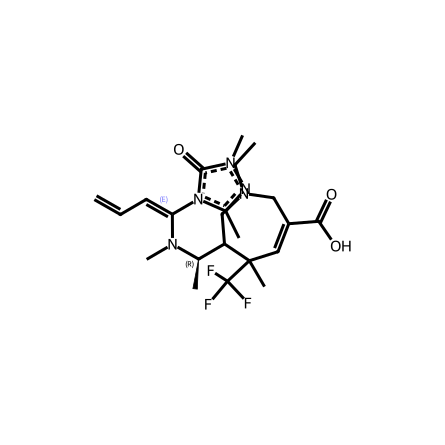 C=C/C=C(\N(C)[C@H](C)C1CN(CC)CC(C(=O)O)=CC1(C)C(F)(F)F)n1c(C)nn(C)c1=O